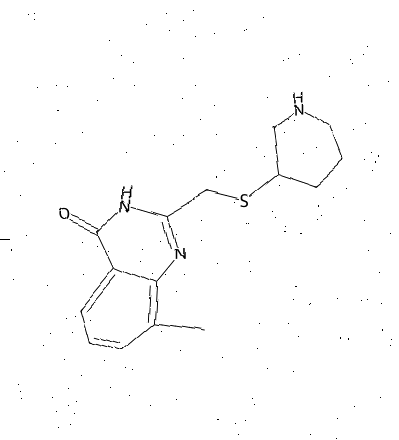 Cc1cccc2c(=O)[nH]c(CSC3CCCNC3)nc12